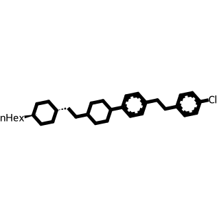 CCCCCC[C@H]1CC[C@H](CCC2CCC(c3ccc(CCc4ccc(Cl)cc4)cc3)CC2)CC1